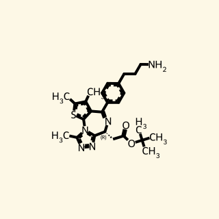 Cc1sc2c(c1C)C(c1ccc(CCCN)cc1)=N[C@H](CC(=O)OC(C)(C)C)c1nnc(C)n1-2